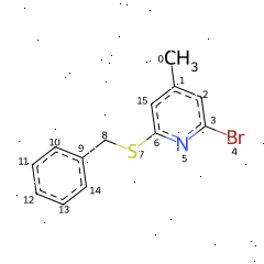 Cc1cc(Br)nc(SCc2ccccc2)c1